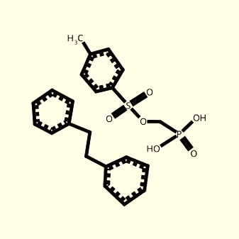 Cc1ccc(S(=O)(=O)OCP(=O)(O)O)cc1.c1ccc(CCc2ccccc2)cc1